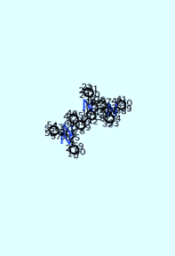 c1ccc(-c2cc(-c3ccc(-c4ccc5c(c4)nc(-c4ccccc4)c4ccc6c(c7ccccc7n6-c6ccccc6)c45)c4ccccc34)nc(-c3ccccc3)n2)cc1